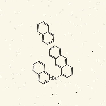 CC(C)(C)c1cccc2cc3ccccc3cc12.c1ccc2ccccc2c1.c1ccc2ccccc2c1